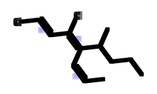 C\C=C/C(=C(Cl)\C=C\Cl)C(C)CCC